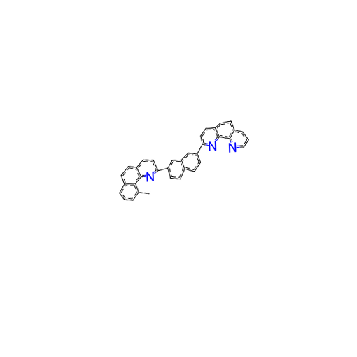 Cc1cccc2ccc3ccc(-c4ccc5ccc(-c6ccc7ccc8cccnc8c7n6)cc5c4)nc3c12